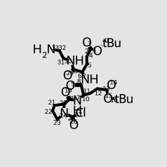 CC(C)(C)OC(=O)CCC(NC(=O)C(CCC(=O)OC(C)(C)C)NC(=O)C1CCCN1C(=O)Cl)C(=O)NCCN